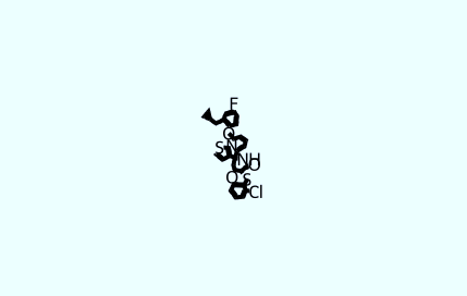 O=C1CC(c2ccsc2)(c2cccc(Oc3ccc(F)cc3CC3CC3)n2)NC(=O)C1Sc1ccccc1Cl